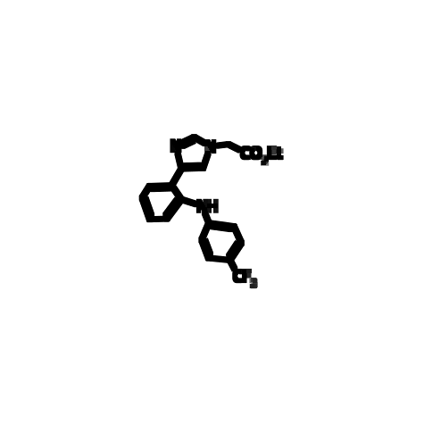 CCOC(=O)Cn1cnc(-c2ccccc2Nc2ccc(C(F)(F)F)cc2)c1